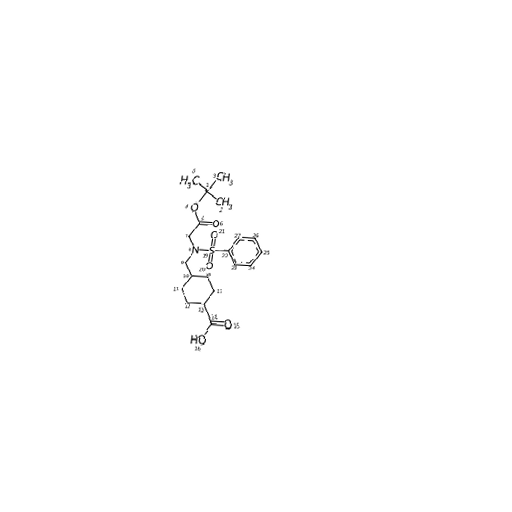 CC(C)(C)OC(=O)CN(CC1CCC(C(=O)O)CC1)S(=O)(=O)c1ccccc1